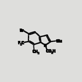 Cc1c(C(F)(F)F)c(Br)cc2cc(C(C)(C)C)n(C(=O)O)c12